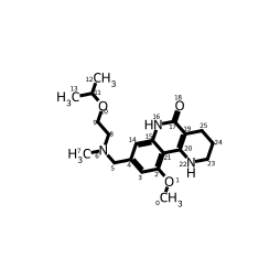 COc1cc(CN(C)CCOC(C)C)cc2[nH]c(=O)c3c(c12)NCCC3